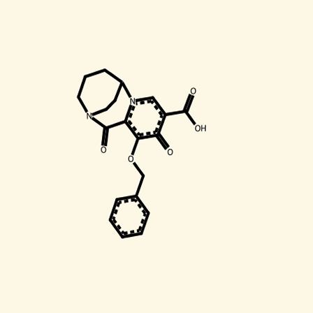 O=C(O)c1cn2c(c(OCc3ccccc3)c1=O)C(=O)N1CCCC2CC1